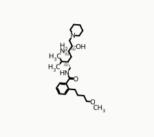 COCCCCc1ccccc1C(=O)NC[C@@H](C[C@H](N)[C@@H](O)CN1CCCCC1)C(C)C